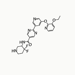 CCOc1cccnc1Oc1cncc(-c2ncc(C(=O)NC3CNCCC3(F)F)cn2)c1